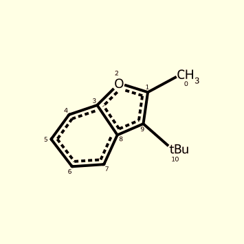 Cc1oc2ccccc2c1C(C)(C)C